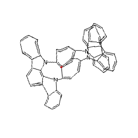 c1ccc2c(c1)c1ccccc1n2-c1ccc(-n2c3ccccc3c3ccc4c5ccccc5n(-c5ccc(-n6c7ccccc7c7ccccc76)cc5)c4c32)cc1